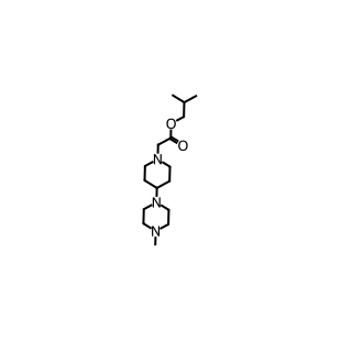 CC(C)COC(=O)CN1CCC(N2CCN(C)CC2)CC1